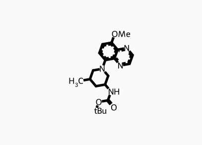 COc1ccc(N2CC(C)CC(NC(=O)OC(C)(C)C)C2)c2nccnc12